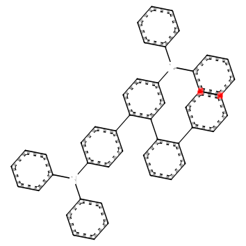 c1ccc(-c2ccccc2-c2cc(N(c3ccccc3)c3ccccc3)ccc2-c2ccc(N(c3ccccc3)c3ccccc3)cc2)cc1